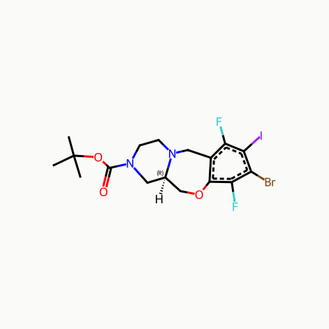 CC(C)(C)OC(=O)N1CCN2Cc3c(F)c(I)c(Br)c(F)c3OC[C@H]2C1